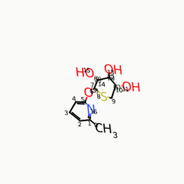 Cc1cccc(O[C@H]2SC[C@@H](O)[C@H](O)[C@H]2O)n1